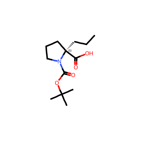 CCC[C@@]1(C(=O)O)CCCN1C(=O)OC(C)(C)C